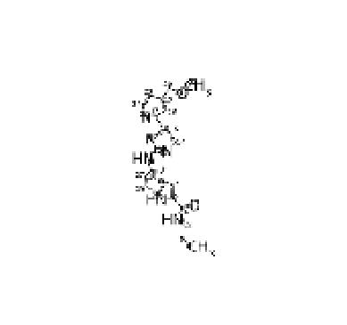 CCCNC(=O)c1cc2cc(Nc3nccc(-c4cc(COC)ccn4)n3)ccc2[nH]1